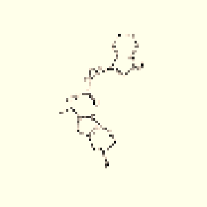 CC(NC(=O)[C@@H]1C[C@H]1c1c[nH]c2ccccc12)c1cc2cc(F)ccc2o1